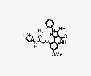 COc1cc(OCC(=O)NN2C=CNC2)c2c(c1)[nH]c(=O)c1c(N)n(-c3ccccc3C)nc12